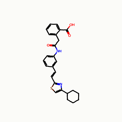 O=C(Cc1ccccc1C(=O)O)Nc1cccc(C=Cc2nc(C3CCCCC3)cs2)c1